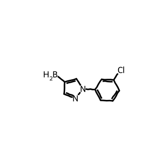 Bc1cnn(-c2cccc(Cl)c2)c1